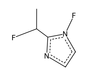 CC(F)c1nccn1F